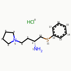 Cl.N[C@H](CCN1CCCC1)CSc1ccccc1